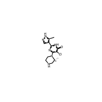 Cc1[nH]ncc1-c1nc(N2CCNC[C@H]2C)c(Cl)c(=O)[nH]1